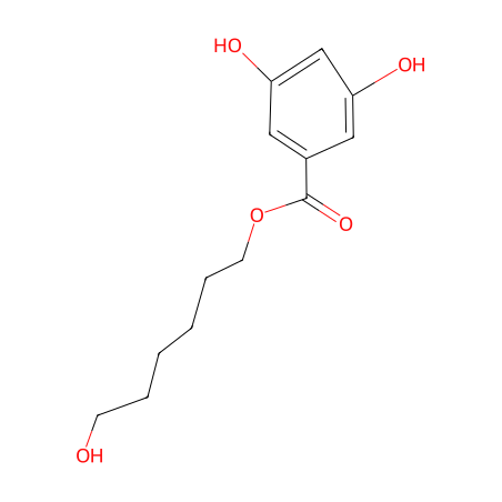 O=C(OCCCCCCO)c1cc(O)cc(O)c1